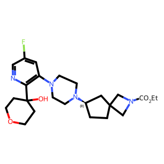 CCOC(=O)N1CC2(CC[C@@H](N3CCN(c4cc(F)cnc4C4(O)CCOCC4)CC3)C2)C1